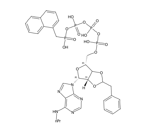 CCCNc1ncnc2c1ncn2[C@@H]1O[C@H](COP(=O)(O)OP(=O)(O)OP(=O)(O)OP(=O)(O)Cc2cccc3ccccc23)C2OC(Cc3ccccc3)O[C@@H]21